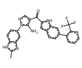 Cc1nc2cc(-n3ncc(C(=O)c4cc5ccc(-c6cccnc6C(F)(F)F)cc5[nH]4)c3N)ccc2[nH]1